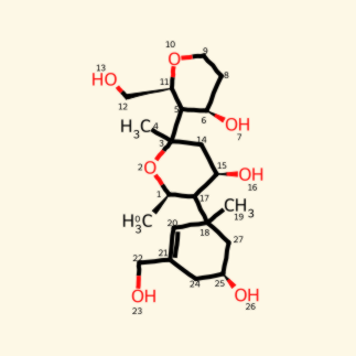 C[C@H]1OC(C)(C2[C@H](O)CCO[C@@H]2CO)C[C@@H](O)C1C1(C)C=C(CO)C[C@H](O)C1